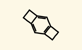 c1c2c(cc3c1CC3)CC2